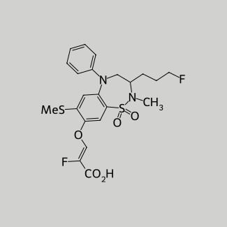 CSc1cc2c(cc1O/C=C(\F)C(=O)O)S(=O)(=O)N(C)C(CCCF)CN2c1ccccc1